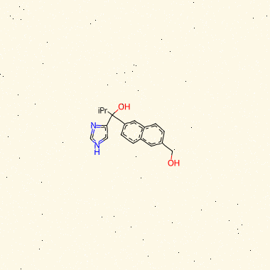 CC(C)C(O)(c1ccc2cc(CO)ccc2c1)c1c[nH]cn1